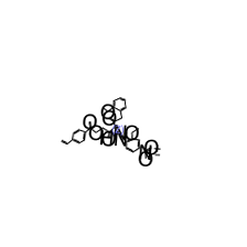 C=Cc1ccc(C(=O)OCC(=O)/C(=N\Nc2ccc([N+](=O)[O-])cc2OC)C(=O)Cc2ccccc2OC)cc1